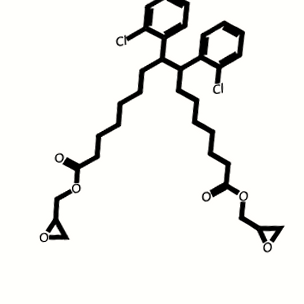 O=C(CCCCCCC(c1ccccc1Cl)C(CCCCCCC(=O)OCC1CO1)c1ccccc1Cl)OCC1CO1